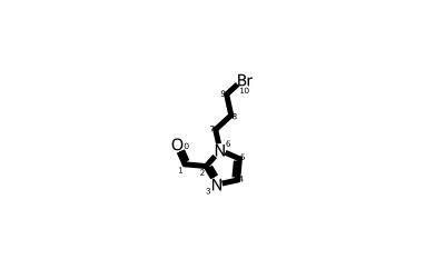 O=Cc1nccn1CCCBr